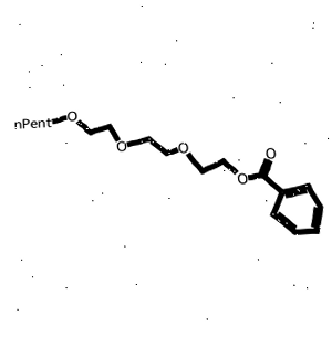 CCCCCOCCOCCOCCOC(=O)c1ccccc1